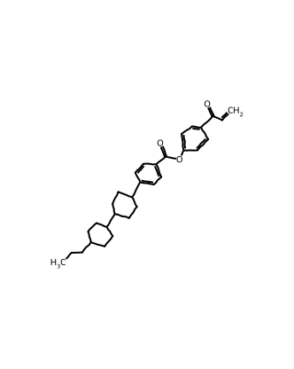 C=CC(=O)c1ccc(OC(=O)c2ccc(C3CCC(C4CCC(CCC)CC4)CC3)cc2)cc1